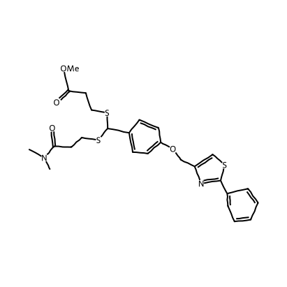 COC(=O)CCSC(SCCC(=O)N(C)C)c1ccc(OCc2csc(-c3ccccc3)n2)cc1